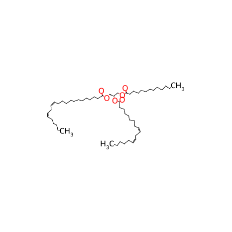 CCCCC/C=C\C/C=C\CCCCCCCCCCCC(=O)OC[C@@H](COC(=O)CCCCCCCCCCCC)OC(=O)CCCCCCC/C=C\C/C=C\CCCCC